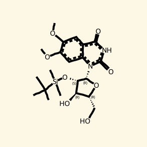 COc1cc2c(=O)[nH]c(=O)n([C@@H]3O[C@H](CO)[C@@H](O)[C@@H]3O[Si](C)(C)C(C)(C)C)c2cc1OC